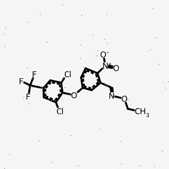 CCON=Cc1cc(Oc2c(Cl)cc(C(F)(F)F)cc2Cl)ccc1[N+](=O)[O-]